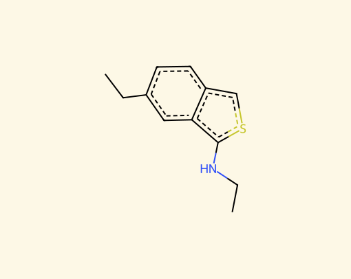 CCNc1scc2ccc(CC)cc12